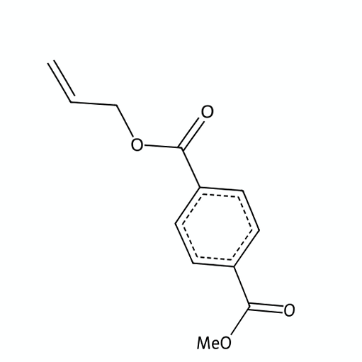 C=CCOC(=O)c1ccc(C(=O)OC)cc1